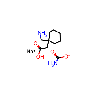 NC(=O)[O-].NCC1(CC(=O)O)CCCCC1.[Na+]